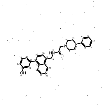 O=C(CN1CCN(c2ccccc2)CC1)NCc1ccc(-c2cccc(O)c2)c2ccncc12